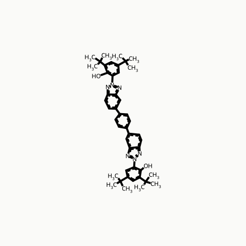 CC(C)(C)c1cc(-n2nc3ccc(-c4ccc(-c5ccc6nn(-c7cc(C(C)(C)C)cc(C(C)(C)C)c7O)nc6c5)cc4)cc3n2)c(O)c(C(C)(C)C)c1